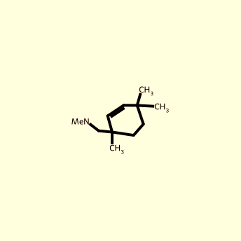 CNCC1(C)C=CC(C)(C)CC1